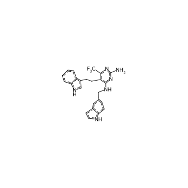 Nc1nc(NCc2ccc3[nH]ccc3c2)c(CCc2c[nH]c3ccccc23)c(C(F)(F)F)n1